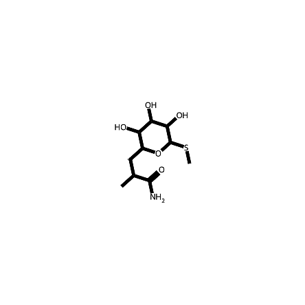 CSC1OC([CH]C(C)C(N)=O)C(O)C(O)C1O